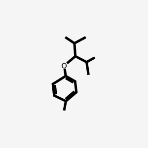 Cc1ccc(OC(C(C)C)C(C)C)cc1